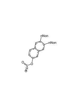 CCCCCCCCCc1cc2ccc(O[SH](=O)=O)cc2cc1CCCCCCCCC